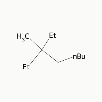 CCCCCC(C)(CC)CC